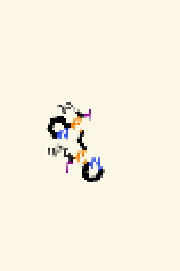 CCCC(I)P(CCCP(c1ccccn1)C(I)CCC)c1ccccn1